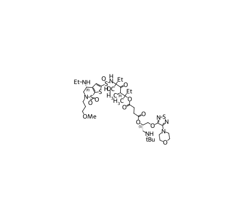 CCN[C@H]1CN(CCCOC)S(=O)(=O)c2sc(S(=O)(=O)NC(C)(CC)C(=O)[C@H](C)C(C)(CC)OC(=O)CCC(=O)O[C@@H](CNC(C)(C)C)COc3nsnc3N3CCOCC3)cc21